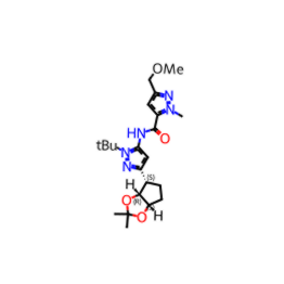 COCc1cc(C(=O)Nc2cc([C@@H]3CC[C@@H]4OC(C)(C)O[C@@H]43)nn2C(C)(C)C)n(C)n1